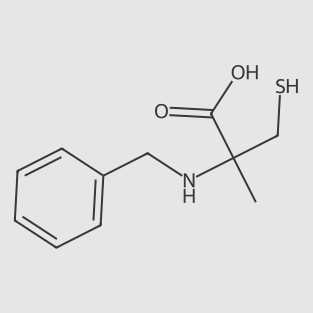 CC(CS)(NCc1ccccc1)C(=O)O